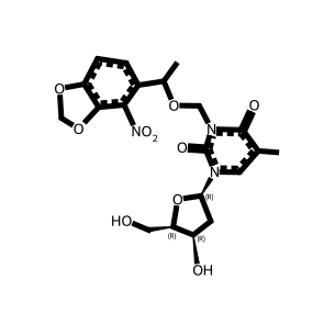 Cc1cn([C@H]2C[C@@H](O)[C@@H](CO)O2)c(=O)n(COC(C)c2ccc3c(c2[N+](=O)[O-])OCO3)c1=O